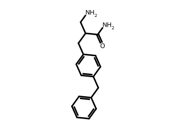 NCC(Cc1ccc(Cc2ccccc2)cc1)C(N)=O